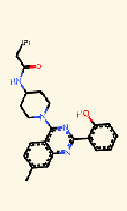 Cc1ccc2c(N3CCC(NC(=O)CC(C)C)CC3)nc(-c3ccccc3O)nc2c1